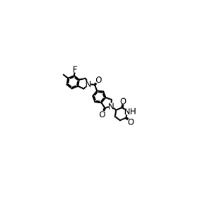 Cc1ccc2c(c1F)CN(C(=O)c1ccc3c(c1)CN(C1CCC(=O)NC1=O)C3=O)C2